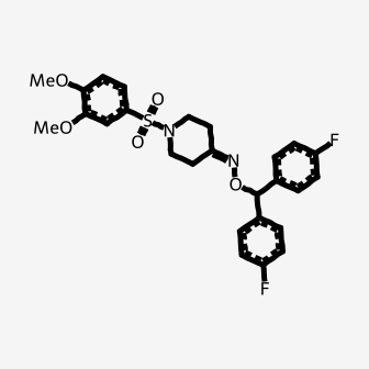 COc1ccc(S(=O)(=O)N2CCC(=NOC(c3ccc(F)cc3)c3ccc(F)cc3)CC2)cc1OC